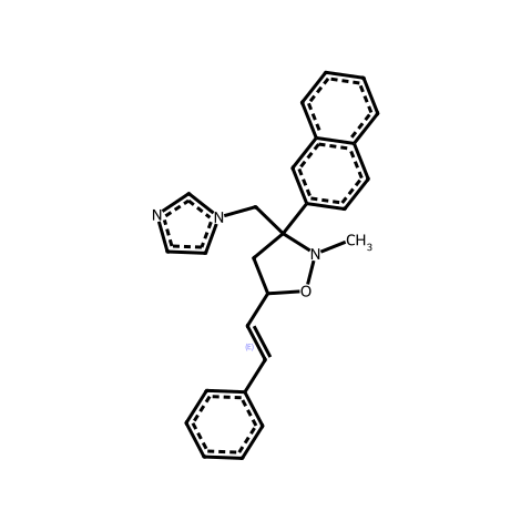 CN1OC(/C=C/c2ccccc2)CC1(Cn1ccnc1)c1ccc2ccccc2c1